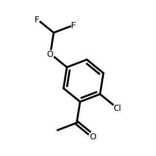 CC(=O)c1cc(OC(F)F)ccc1Cl